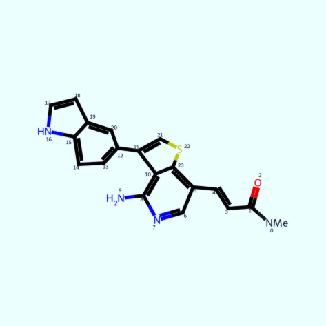 CNC(=O)C=Cc1cnc(N)c2c(-c3ccc4[nH]ccc4c3)csc12